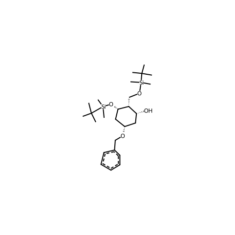 CC(C)(C)[Si](C)(C)OC[C@@H]1[C@H](O)C[C@H](OCc2ccccc2)C[C@@H]1O[Si](C)(C)C(C)(C)C